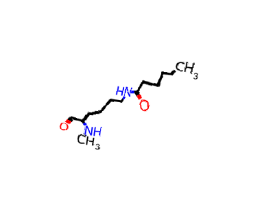 CCCCCC(=O)NCCCCC(C=O)NC